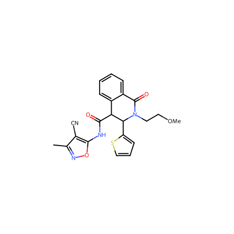 COCCN1C(=O)c2ccccc2C(C(=O)Nc2onc(C)c2C#N)C1c1cccs1